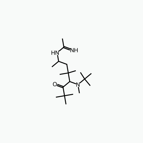 CC(=N)NC(C)CC(C)(C)C(C(=O)C(C)(C)C)N(C)C(C)(C)C